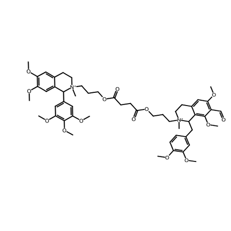 COc1ccc(CC2c3c(cc(OC)c(C=O)c3OC)CC[N+]2(C)CCCOC(=O)CCC(=O)OCCC[N+]2(C)CCc3cc(OC)c(OC)cc3C2c2cc(OC)c(OC)c(OC)c2)cc1OC